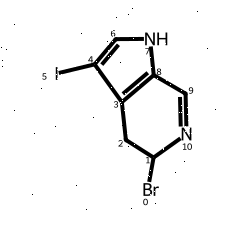 BrC1Cc2c(I)c[nH]c2C=N1